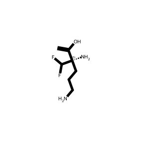 C=C(O)[C@@](N)(CCCN)C(F)F